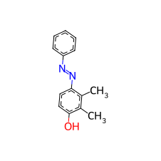 Cc1c(O)ccc(N=Nc2ccccc2)c1C